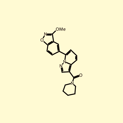 COc1noc2ccc(-c3cccc4c(C(=O)N5CCCCC5)cnn34)cc12